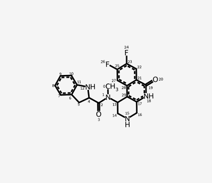 CN(C(=O)C1Cc2ccccc2N1)C1CNCc2[nH]c(=O)c3cc(F)c(F)cc3c21